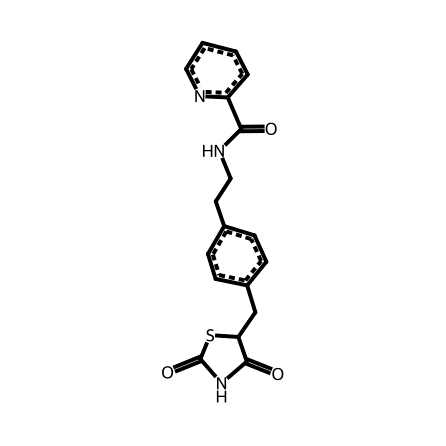 O=C1NC(=O)C(Cc2ccc(CCNC(=O)c3ccccn3)cc2)S1